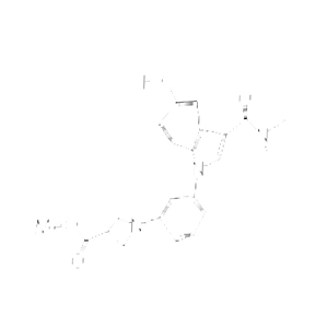 COC(=O)C1CN(c2cccc(-n3cc(C(=O)N(C)C)c4cc(C(F)(F)F)ccc43)c2)C1